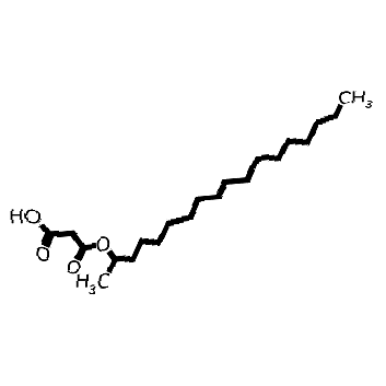 CCCCCCCCCCCCCCCCC(C)OC(=O)CC(=O)O